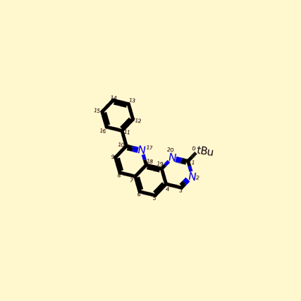 CC(C)(C)c1ncc2ccc3ccc(-c4ccccc4)nc3c2n1